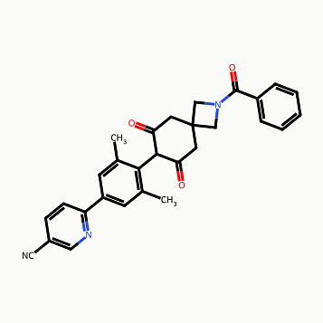 Cc1cc(-c2ccc(C#N)cn2)cc(C)c1C1C(=O)CC2(CC1=O)CN(C(=O)c1ccccc1)C2